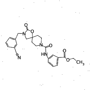 CCOC(=O)c1cccc(NC(=O)N2CCC3(CC2)CN(Cc2cccc(C#N)c2)C(=O)O3)c1